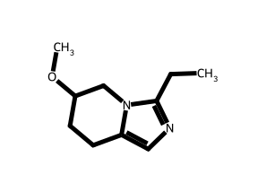 CCc1ncc2n1CC(OC)CC2